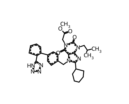 COC(=O)Cn1c(=O)c2c(nc(C3CCCCC3)n2Cc2ccc(-c3ccccc3-c3nnn[nH]3)cc2)n(CC(C)C)c1=O